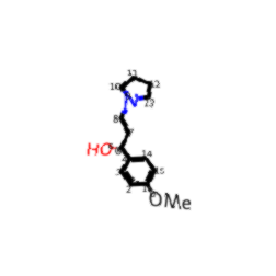 COc1ccc([C@H](O)CCN2CCCC2)cc1